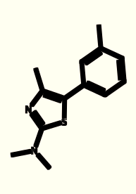 Cc1cccc(-c2sc(N(C)C)nc2C)c1